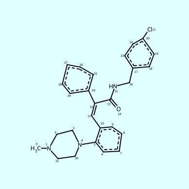 CN1CCN(c2ccccc2C=C(C(=O)NCc2ccc(Cl)cc2)c2ccccc2)CC1